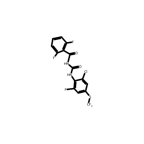 O=C(NC(=O)c1c(F)cccc1F)Nc1c(F)cc(SC(F)(F)F)cc1Cl